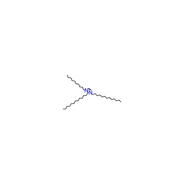 CCCCCCCCCCCCCN1C=CN(CCCCCCCCCC)C1CCCCCCCCCCCC